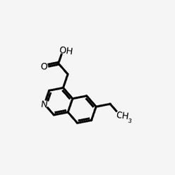 CCc1ccc2cncc(CC(=O)O)c2c1